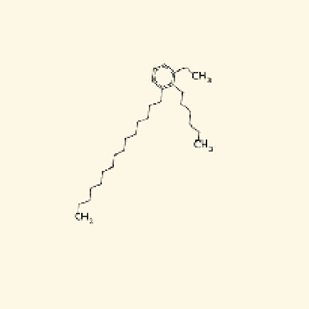 CCCCCCCCCCCCCCCc1[c]ccc(CC)c1CCCCCC